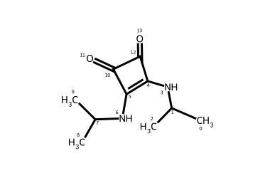 CC(C)Nc1c(NC(C)C)c(=O)c1=O